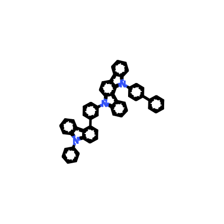 c1ccc(-c2ccc(-n3c4ccccc4c4ccc5c(c6ccccc6n5-c5cccc(-c6cccc7c6c6ccccc6n7-c6ccccc6)c5)c43)cc2)cc1